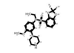 CCN(c1ccc(OC)c(N2CCNCC2)c1)S(=O)(=O)c1cccc2c1OC(F)(F)O2